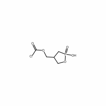 O=C(Cl)OCC1COP(=O)(O)C1